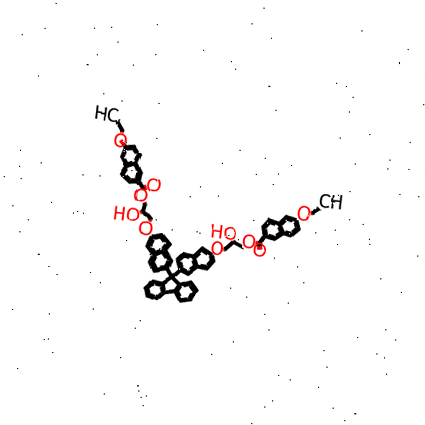 C#CCOc1ccc2cc(C(=O)OCC(O)COc3ccc4cc(C5(c6ccc7cc(OCC(O)COC(=O)c8ccc9cc(OCC#C)ccc9c8)ccc7c6)c6ccccc6-c6ccccc65)ccc4c3)ccc2c1